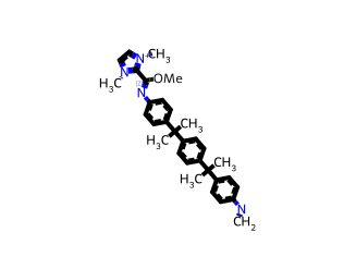 C=Nc1ccc(C(C)(C)c2ccc(C(C)(C)c3ccc(/N=C(\OC)c4n(C)cc[n+]4C)cc3)cc2)cc1